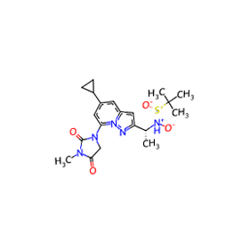 C[C@H](c1cc2cc(C3CC3)cc(N3CC(=O)N(C)C3=O)n2n1)[NH+]([O-])[S@+]([O-])C(C)(C)C